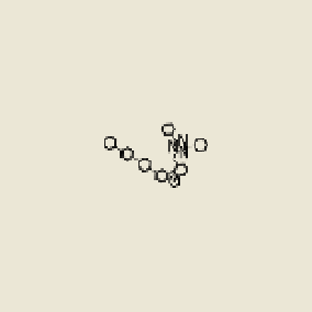 c1ccc(-c2ccc(-c3ccc(-c4ccc5oc6cccc(Cc7nc(-c8ccccc8)nc(-c8ccccc8)n7)c6c5c4)cc3)cc2)cc1